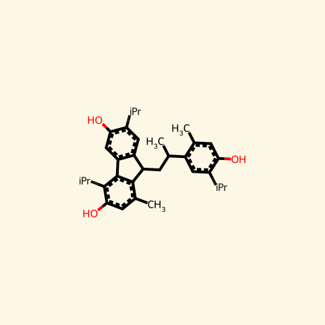 Cc1cc(O)c(C(C)C)cc1C(C)CC1c2cc(C(C)C)c(O)cc2-c2c(C(C)C)c(O)cc(C)c21